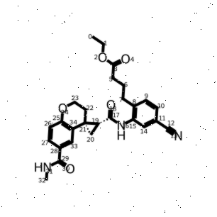 CCOC(=O)CCCc1ccc(C#N)cc1NC(=O)[C@@H]1C[C@]12CCOc1ccc(C(=O)NC)cc12